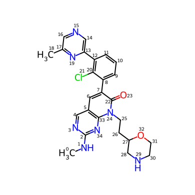 CNc1ncc2cc(-c3cccc(-c4cncc(C)n4)c3Cl)c(=O)n(CCC3CNCCO3)c2n1